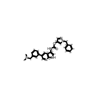 CN(C)Cc1cccc(-c2cnc3[nH]cc(NC(=O)Oc4cnn(Cc5ccccc5)c4)c3c2)c1